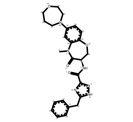 CN1C(=O)[C@H](NC(=O)c2n[nH]c(Cc3ccccc3)n2)COc2ccc(N3CCCOCC3)cc21